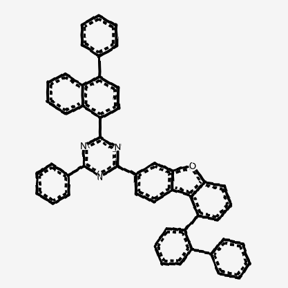 c1ccc(-c2nc(-c3ccc4c(c3)oc3cccc(-c5ccccc5-c5ccccc5)c34)nc(-c3ccc(-c4ccccc4)c4ccccc34)n2)cc1